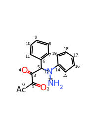 CC(=O)C(=O)C(=O)C(c1ccccc1)N(N)c1ccccc1